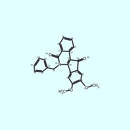 COc1cc2c(cc1OC)-c1c(c3ccccc3c(=O)n1Cc1ccccc1)C2=O